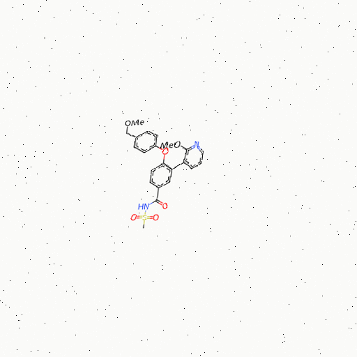 COCc1ccc(Oc2ccc(C(=O)NS(C)(=O)=O)cc2-c2cccnc2OC)cc1